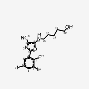 N#Cc1nc(-c2cc(I)cc(I)c2F)oc1NCCCCCO